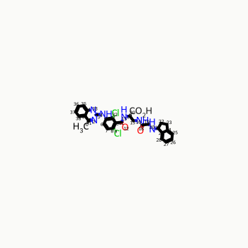 Cc1nc(Nc2ccc(Cl)c(C(=O)NC(CNC(=O)CNC3CCc4ccccc43)C(=O)O)c2Cl)nc2ccccc12